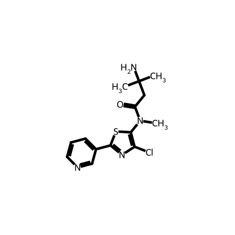 CN(C(=O)CC(C)(C)N)c1sc(-c2cccnc2)nc1Cl